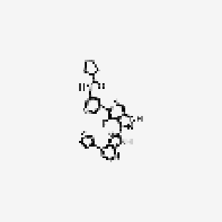 O=C(Nc1cncc(-c2ncc3[nH]nc(-c4nc5c(-c6ccsc6)ccnc5[nH]4)c3c2F)c1)C1CCCC1